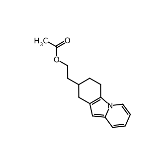 CC(=O)OCCC1CCc2c(cc3ccccn23)C1